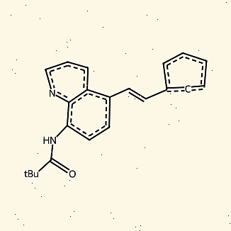 CC(C)(C)C(=O)Nc1ccc(C=Cc2ccccc2)c2cccnc12